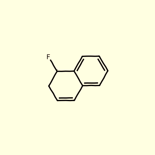 F[C]1CC=Cc2ccccc21